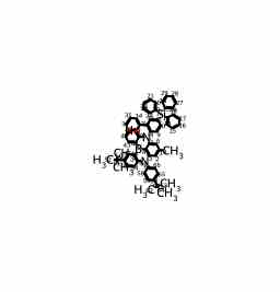 Cc1cc2c3c(c1)N(c1ccc([Si](c4ccccc4)(c4ccccc4)c4ccccc4)cc1-c1cccnc1)c1ccccc1B3c1cc(C(C)(C)C)ccc1N2c1ccc(C(C)(C)C)cc1